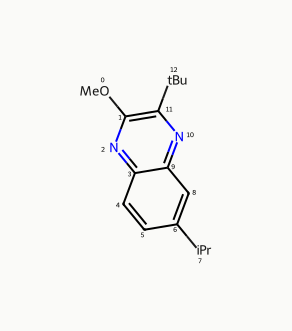 COc1nc2ccc(C(C)C)cc2nc1C(C)(C)C